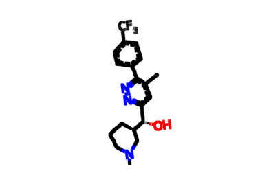 Cc1cc([C@H](O)[C@@H]2CCCN(C)C2)nnc1-c1ccc(C(F)(F)F)cc1